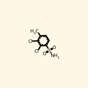 Cc1ccc(S(N)(=O)=O)c(Cl)c1Cl